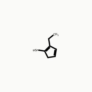 CCC1=[C]([SnH])CC=C1